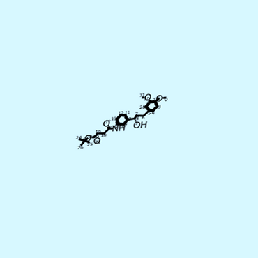 COc1ccc(CC[C@@H](O)c2cccc(NC(=O)CCC(=O)OC(C)(C)C)c2)cc1OC